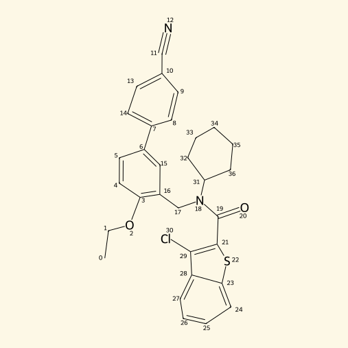 CCOc1ccc(-c2ccc(C#N)cc2)cc1CN(C(=O)c1sc2ccccc2c1Cl)C1CCCCC1